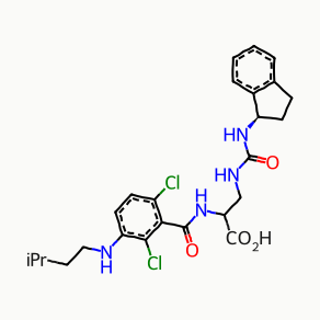 CC(C)CCNc1ccc(Cl)c(C(=O)NC(CNC(=O)N[C@@H]2CCc3ccccc32)C(=O)O)c1Cl